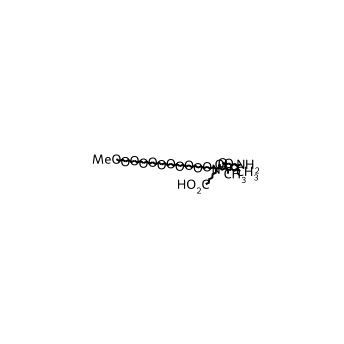 COCCOCCOCCOCCOCCOCCOCCOCCOCCOCCOCCN(CCCCCC(=O)O)C(=O)Cc1c(C)c2cc(C)c(N)cc2oc1=O